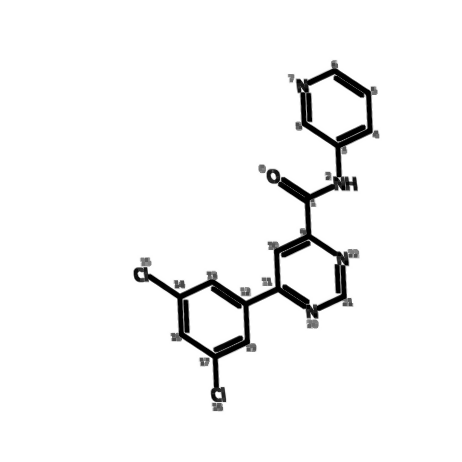 O=C(Nc1cccnc1)c1cc(-c2cc(Cl)cc(Cl)c2)ncn1